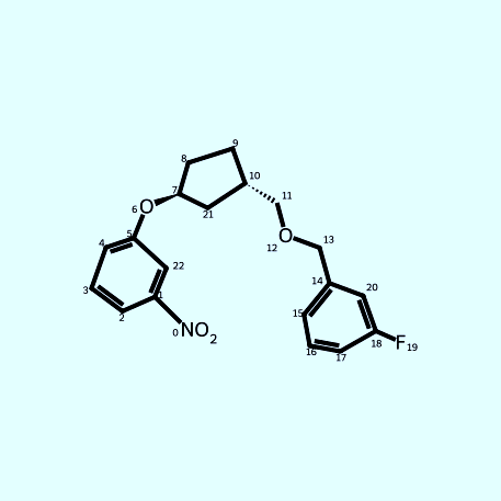 O=[N+]([O-])c1cccc(O[C@H]2CC[C@H](COCc3cccc(F)c3)C2)c1